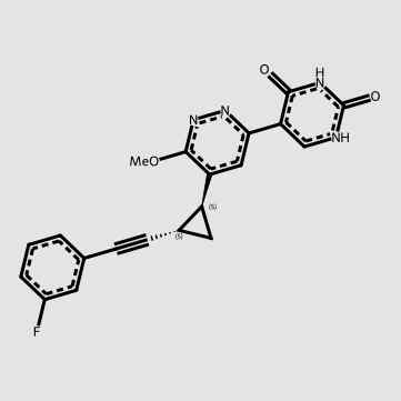 COc1nnc(-c2c[nH]c(=O)[nH]c2=O)cc1[C@H]1C[C@@H]1C#Cc1cccc(F)c1